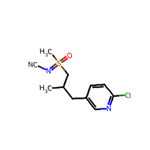 CC(Cc1ccc(Cl)nc1)CS(C)(=O)=NC#N